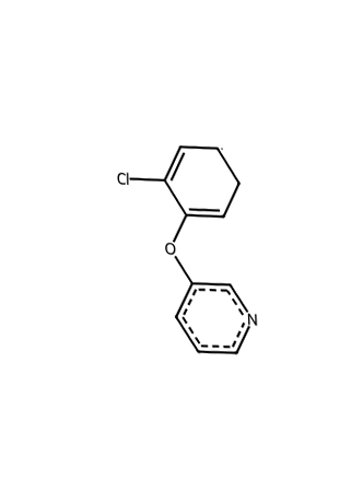 ClC1=C[CH]CC=C1Oc1cccnc1